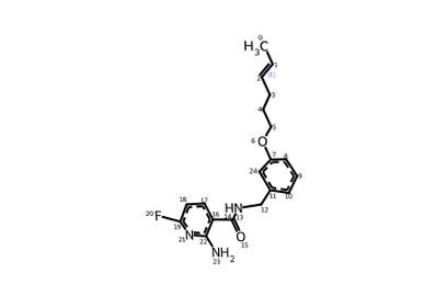 C/C=C/CCCOc1cccc(CNC(=O)c2ccc(F)nc2N)c1